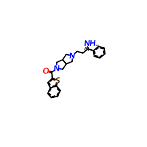 N[C@@H](CCN1CC2CN(C(=O)c3cc4ccccc4s3)CC2C1)c1ccccc1